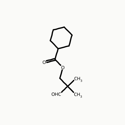 CC(C)(C=O)COC(=O)C1CCCCC1